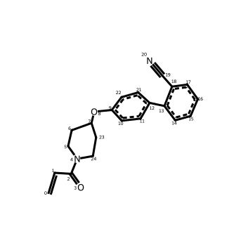 C=CC(=O)N1CCC(Oc2ccc(-c3ccccc3C#N)cc2)CC1